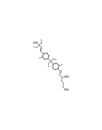 CCC(O)(C=Cc1ccc(C(CC)(CC)c2ccc(OCC(O)CCCO)c(C)c2)cc1C)CC